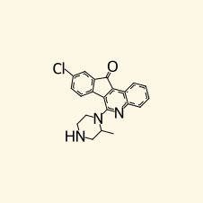 CC1CNCCN1c1nc2ccccc2c2c1-c1ccc(Cl)cc1C2=O